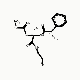 CCC[C@](NC(=N)N[N+](=O)[O-])(NC(=O)[C@@H](C)c1ccccc1)C(=O)N[CH]CC(C)C